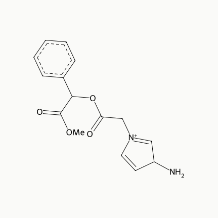 COC(=O)C(OC(=O)C[N+]1=CC(N)C=C1)c1ccccc1